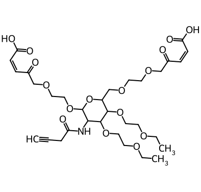 C#CCC(=O)NC1C(OCCOCC(=O)/C=C\C(=O)O)OC(COCCOCC(=O)/C=C\C(=O)O)C(OCCOCC)C1OCCOCC